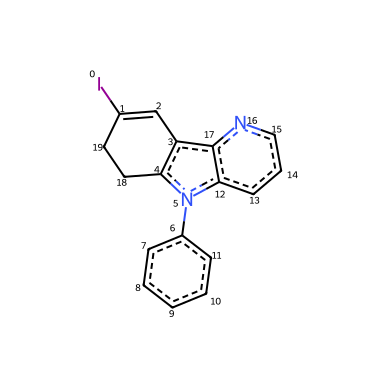 IC1=Cc2c(n(-c3ccccc3)c3cccnc23)CC1